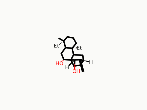 C=C1[C@H]2CCC3(C(C2)[C@]2(CC)CCC[C@@](C)(CC)C2C[C@H]3O)[C@H]1O